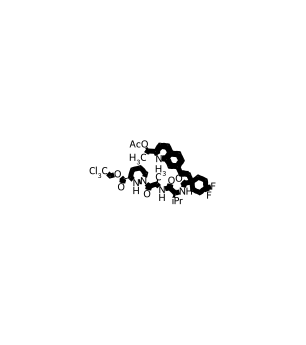 CC(=O)O[C@H](C)c1ccc2ccc(/C=C/C3(C(=O)N[C@H](C(=O)N[C@@H](C)C(=O)N4CCC[C@@H](C(=O)OCC(Cl)(Cl)Cl)N4)C(C)C)CCC(F)(F)CC3)cc2n1